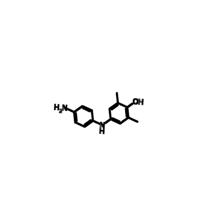 Cc1cc(Nc2ccc(N)cc2)cc(C)c1O